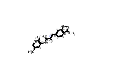 Cc1cnc(C)c(NC(=O)/C(F)=C/c2ccc3c(C)n[nH]c3c2)c1